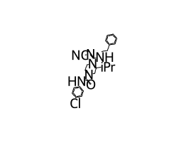 CC(C)C1CN(C(=O)Nc2ccc(Cl)cc2)CCN1/C(=N\C#N)NCCc1ccccc1